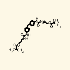 C=C(C)C(=O)OCCCNC(=O)Nc1ccc(Cc2ccc(NC(=O)NCCCOC(=O)C(=C)C)cc2)cc1